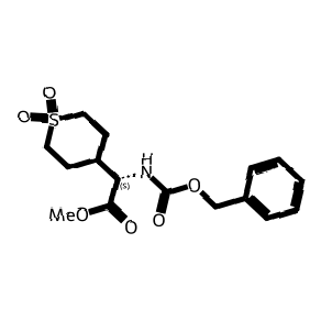 COC(=O)[C@@H](NC(=O)OCc1ccccc1)C1CCS(=O)(=O)CC1